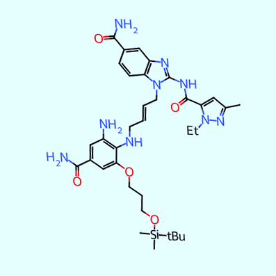 CCn1nc(C)cc1C(=O)Nc1nc2cc(C(N)=O)ccc2n1CC=CCNc1c(N)cc(C(N)=O)cc1OCCCO[Si](C)(C)C(C)(C)C